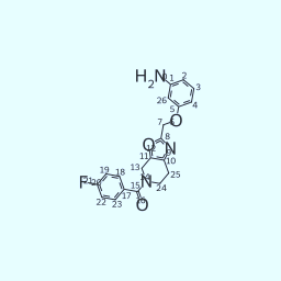 Nc1cccc(OCc2nc3c(o2)CN(C(=O)c2ccc(F)cc2)CC3)c1